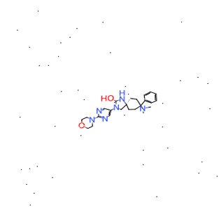 CN(C)[C@]1(c2ccccc2)CC[C@]2(CC1)CN(c1cnc(N3CCOCC3)nc1)C(O)N2